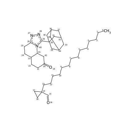 CCCCCCCCCCCCCCC1(C=O)CC1.O=C1CCC2CCc3nnc(C45CC6CC(CC(C6)C4)C5)n3C2C1